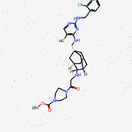 CC(C)(C)OC(=O)N1CCN(C(=O)CN[C@@H]2[C@@H]3CC4C[C@H]2C[C@](CNc2nc(NCc5ccccc5Cl)ncc2C#N)(C4)C3)CC1